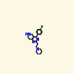 Fc1ccc(-c2nc(CCN3CCCCC3)nc3c2CNCC3)cc1